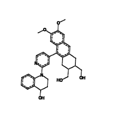 COc1cc2cc3c(c(-c4ccnc(N5CCC(O)c6ccccc65)c4)c2cc1OC)CC(CO)C(CO)C3